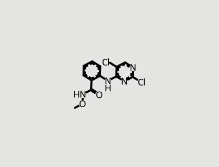 CONC(=O)c1ccccc1Nc1nc(Cl)ncc1Cl